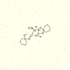 N[C@H]1[C@H]2OC3(CCCCC3)O[C@H]2O[C@@H]1[C@H]1COC2(CCCCC2)O1